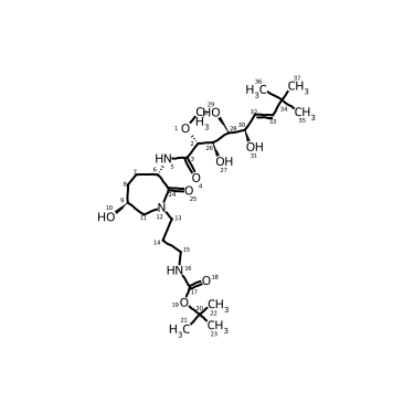 CO[C@@H](C(=O)N[C@H]1CC[C@H](O)CN(CCCNC(=O)OC(C)(C)C)C1=O)[C@H](O)[C@@H](O)[C@H](O)/C=C/C(C)(C)C